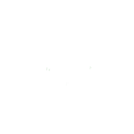 Fc1[c]ccc(-c2c(F)cc(Br)cc2F)c1